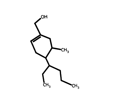 CCCC(CC)C1CC=C(CO)CC1C